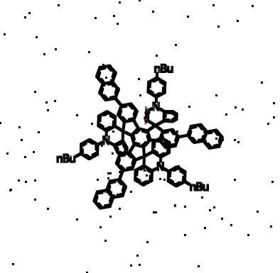 CCCCc1ccc(N2c3ccccc3C3(c4cc(-c5ccc6ccccc6c5)ccc4-c4c3c3c(c5c4C4(c6cc(-c7ccc8ccccc8c7)ccc6-5)c5ccccc5N(c5ccc(CCCC)cc5)c5ccccc54)C4(c5cc(-c6ccc7ccccc7c6)ccc5-3)c3ccccc3N(c3ccc(CCCC)cc3)c3ccccc34)c3ccccc32)cc1